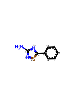 Nc1nsc(-c2ccccc2)n1